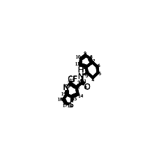 O=C(N[C@@H]1CCCc2ccccc21)c1cc2sccc2nc1C(F)(F)F